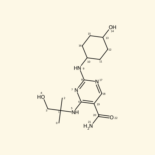 CC(C)(CO)Nc1nc(NC2CCC(O)CC2)ncc1C(N)=O